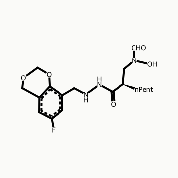 CCCCC[C@H](CN(O)C=O)C(=O)NNCc1cc(F)cc2c1OCOC2